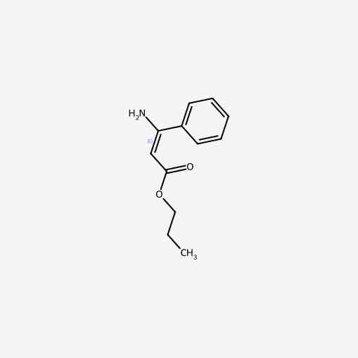 CCCOC(=O)/C=C(/N)c1ccccc1